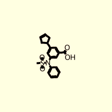 CS(=O)(=O)N(c1ccccc1)c1cc(C(=O)O)cc(C2CC=CC2)c1